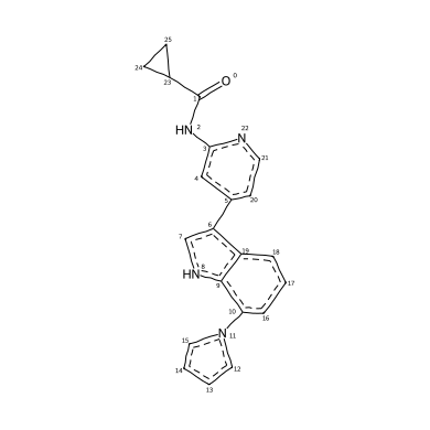 O=C(Nc1cc(-c2c[nH]c3c(-n4cccc4)cccc23)ccn1)C1CC1